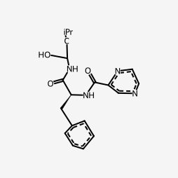 CC(C)CC(O)NC(=O)[C@H](Cc1ccccc1)NC(=O)c1cnccn1